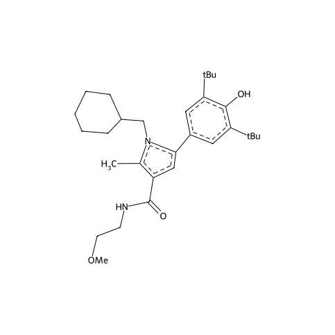 COCCNC(=O)c1cc(-c2cc(C(C)(C)C)c(O)c(C(C)(C)C)c2)n(CC2CCCCC2)c1C